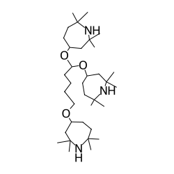 CC1(C)CCC(OCCCCC(OC2CCC(C)(C)NC(C)(C)C2)OC2CCC(C)(C)NC(C)(C)C2)CC(C)(C)N1